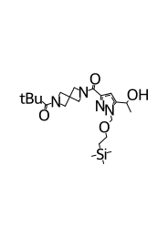 CC(O)c1cc(C(=O)N2CC3(C2)CN(C(=O)C(C)(C)C)C3)nn1COCC[Si](C)(C)C